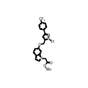 CCn1nc(-c2ccc(C(F)(F)F)cc2)cc1COc1ccc2ccn(CC(=O)OC(C)(C)C)c2c1